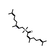 CC(C)=CCCC(C)=CC(=O)[N+](C)(C)C/C=C(/C)CCC=C(C)C